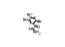 NNC(=O)c1cc(Br)c(Br)cc1Br